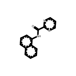 O=C(Nc1cccc2ccccc12)c1ncccn1